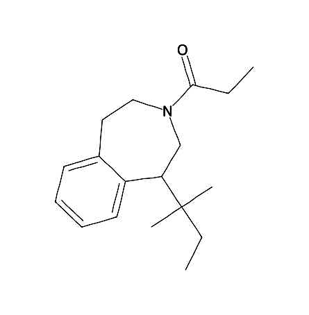 CCC(=O)N1CCc2ccccc2C(C(C)(C)CC)C1